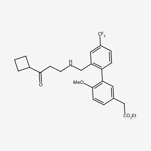 CCOC(=O)Cc1ccc(OC)c(-c2ccc(C(F)(F)F)cc2CNCCC(=O)C2CCC2)c1